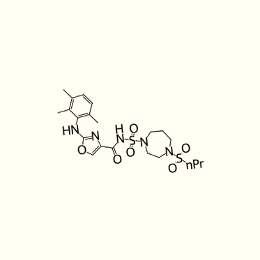 CCCS(=O)(=O)N1CCCN(S(=O)(=O)NC(=O)c2coc(Nc3c(C)ccc(C)c3C)n2)CC1